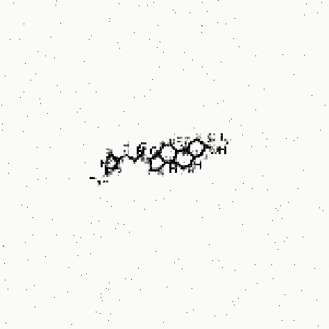 Cn1cc(NCC(=O)[C@H]2CCC3[C@@H]4CC[C@@H]5C[C@](C)(O)CC[C@]5(F)C4CC[C@@]32C)cn1